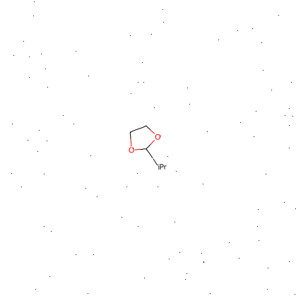 [CH2]C(C)C1OCCO1